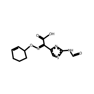 O=CNc1nc(/C(=N/OC2C=CCCC2)C(=O)O)cs1